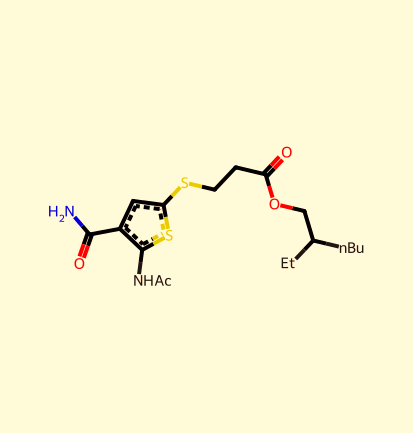 CCCCC(CC)COC(=O)CCSc1cc(C(N)=O)c(NC(C)=O)s1